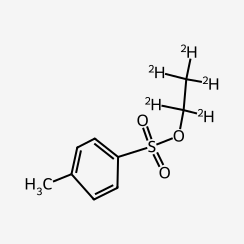 [2H]C([2H])([2H])C([2H])([2H])OS(=O)(=O)c1ccc(C)cc1